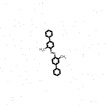 Cc1cc(-c2ccccc2)ccc1SSc1ccc(-c2ccccc2)cc1C